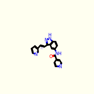 O=C(Nc1ccc2[nH]nc(/C=C/c3cccnc3)c2c1)c1ccncc1